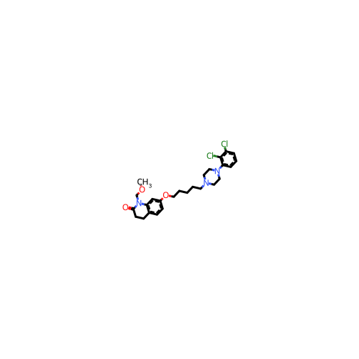 COCN1C(=O)CCc2ccc(OCCCCCN3CCN(c4cccc(Cl)c4Cl)CC3)cc21